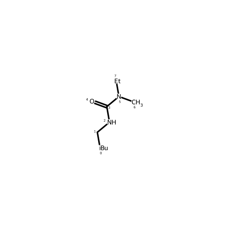 CCC(C)CNC(=O)N(C)CC